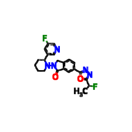 CC(F)c1nnc(-c2ccc3c(c2)C(=O)N(N2CCCCC2c2cncc(F)c2)C3)o1